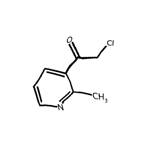 Cc1ncccc1C(=O)CCl